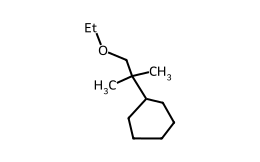 CCOCC(C)(C)C1CCCCC1